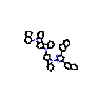 c1ccc2cc(-c3cc(-c4ccc5ccccc5c4)nc(-n4c5ccccc5c5ccc(-n6c7ccccc7c7c8c9ccccc9n(-c9cccc%10ccccc9%10)c8ccc76)cc54)n3)ccc2c1